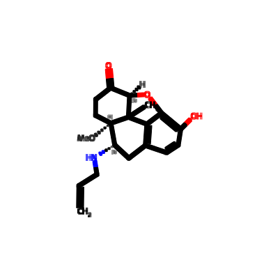 C=CCN[C@H]1Cc2ccc(O)c3c2C2(C)[C@H](O3)C(=O)CC[C@]12OC